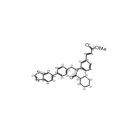 COC(=O)/C=C/c1cccc(N(Cc2ccc(-c3ccc4ncsc4c3)cc2)C(=O)C2CCCCC2)c1